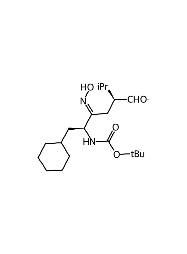 CC(C)[C@@H]([C]=O)CC(=NO)[C@H](CC1CCCCC1)NC(=O)OC(C)(C)C